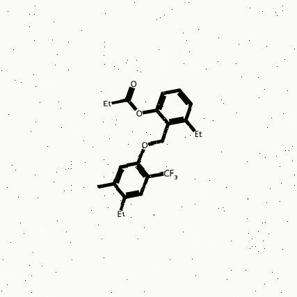 CCC(=O)Oc1cccc(CC)c1COc1cc(C)c(CC)cc1C(F)(F)F